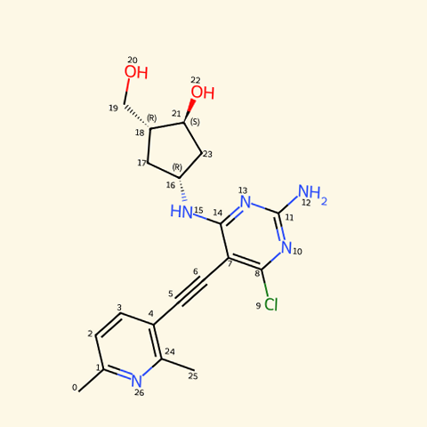 Cc1ccc(C#Cc2c(Cl)nc(N)nc2N[C@@H]2C[C@H](CO)[C@@H](O)C2)c(C)n1